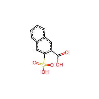 O=C(O)c1cc2ccccc2[c]c1S(=O)(=O)O